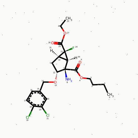 CCCCOC(=O)[C@@]1(N)[C@H]2[C@@H](C[C@H]1OCc1ccc(Cl)c(Cl)c1)[C@]2(F)C(=O)OCC